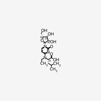 CCN(c1ccn([C@@H]2O[C@H](CO)[C@@H](O)[C@H]2O)c(=O)n1)[C@@H](CC(C)C)C(=O)O